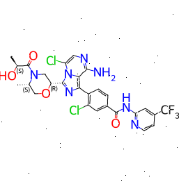 C[C@H](O)C(=O)N1C[C@H](c2nc(-c3ccc(C(=O)Nc4cc(C(F)(F)F)ccn4)cc3Cl)c3c(N)ncc(Cl)n23)OC[C@@H]1C